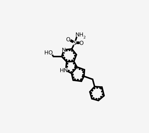 NS(=O)(=O)c1cc2c([nH]c3ccc(Cc4ccccc4)cc32)c(CO)n1